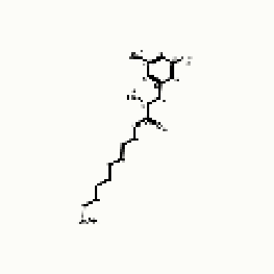 CCCCCCCCCCCCCCCCCCOC(=O)[C@H](O)Cc1cc(C(C)(C)C)cc(C(C)(C)C)c1